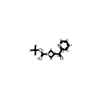 CC(C)(C)OC(=O)N1CC(C(=O)c2ccccn2)C1